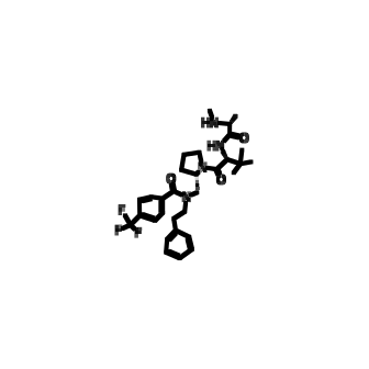 CN[C@@H](C)C(=O)N[C@H](C(=O)N1CCC[C@H]1CN(CCc1ccccc1)C(=O)c1ccc(C(F)(F)F)cc1)C(C)(C)C